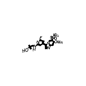 COc1cc2ncc(-c3cc(F)nc(NCC(C)(C)O)c3)n2cc1S(=O)(=O)C(C)(C)C